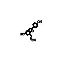 N#CSCc1cc(O)cc2cc(-c3ccc(O)cc3)oc12